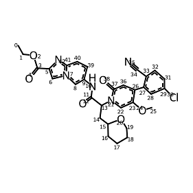 CCOC(=O)c1cn2cc(NC(=O)C(CC3CCCCO3)n3cc(OC)c(-c4cc(Cl)ccc4C#N)cc3=O)ccc2n1